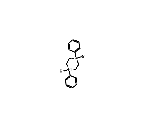 Br[PH]1(c2ccccc2)CC[PH](Br)(c2ccccc2)CC1